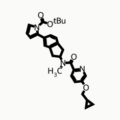 CN(C(=O)c1ccc(OCC2CC2)cn1)C1Cc2ccc(-c3cccn3C(=O)OC(C)(C)C)cc2C1